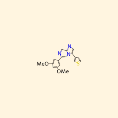 COc1cc(OC)cc(-c2cn3c(-c4ccsc4)cnc3cn2)c1